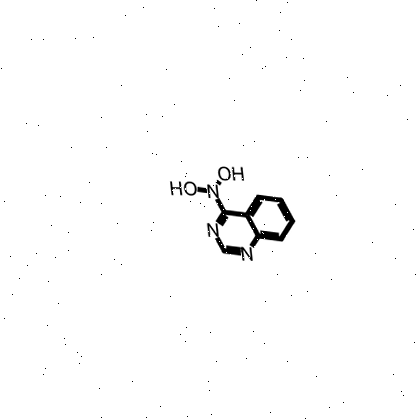 ON(O)c1ncnc2ccccc12